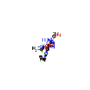 C=C1C=C(F)c2cc(Oc3cc(N4CCC5(CC4)CN([C@H]4CCC[C@H]4c4ccccc4C(C)C)C5)ccc3C(=O)NS(=O)(=O)c3cc(N)c(NC[C@H]4CC[C@](C)(O)CC4)n4ccnc34)c(OC)nc21